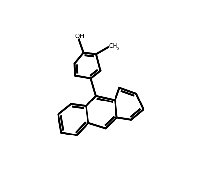 Cc1cc(-c2c3ccccc3cc3ccccc23)ccc1O